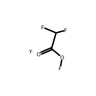 O=C(OF)C(F)F.[Y]